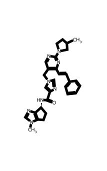 CC1CCN(c2ncc(Cn3cnc(C(=O)N[C@@H]4CCc5c4ncn5C)c3)c(/C=C/c3ccccc3)n2)C1